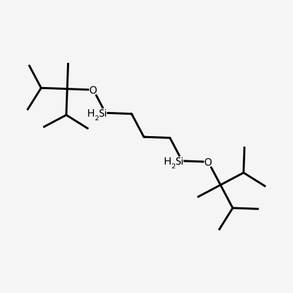 CC(C)C(C)(O[SiH2]CCC[SiH2]OC(C)(C(C)C)C(C)C)C(C)C